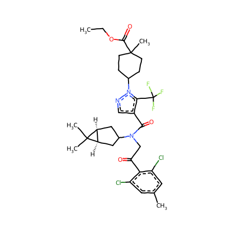 CCOC(=O)C1(C)CCC(n2ncc(C(=O)N(CC(=O)c3c(Cl)cc(C)cc3Cl)C3C[C@@H]4[C@H](C3)C4(C)C)c2C(F)(F)F)CC1